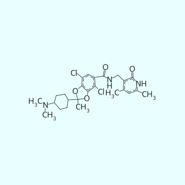 Cc1cc(C)c(CNC(=O)c2cc(Cl)c3c(c2Cl)OC(C)(C2CCC(N(C)C)CC2)O3)c(=O)[nH]1